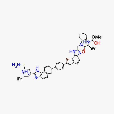 COC(O)N[C@H](C(=O)N(Cc1nc2ccc3cc(-c4ccc(-c5ccc6c(ccc7nc(C(CCCN)C[C@@H](N)C(C)C)[nH]c76)c5)cc4)sc3c2[nH]1)C1CCCCC1)C(C)C